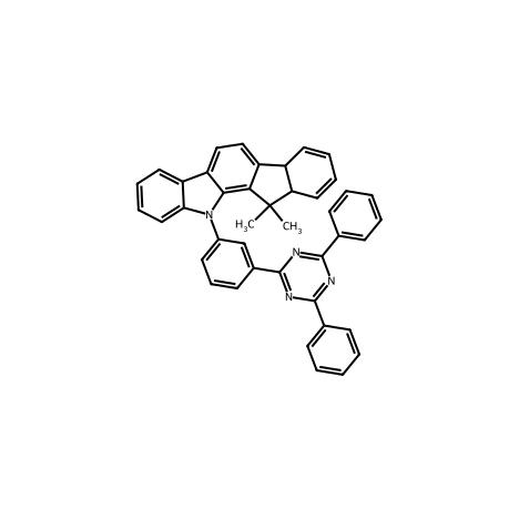 CC1(C)c2c(ccc3c4ccccc4n(-c4cccc(-c5nc(-c6ccccc6)nc(-c6ccccc6)n5)c4)c23)C2C=CC=CC21